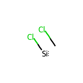 CCl.[Si]Cl